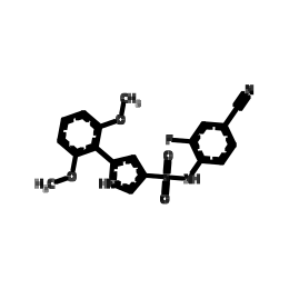 COc1cccc(OC)c1-c1cc(S(=O)(=O)Nc2ccc(C#N)cc2F)c[nH]1